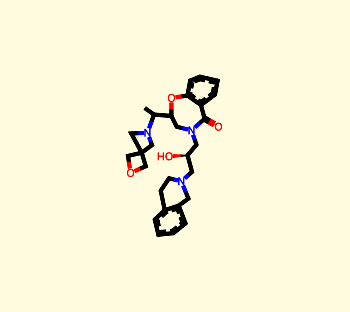 CC(C1CN(C[C@H](O)CN2CCc3ccccc3C2)C(=O)c2ccccc2O1)N1CC2(COC2)C1